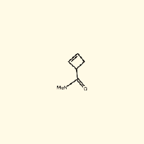 [CH2]NC(=O)C1C=CC1